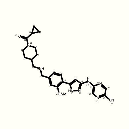 COc1cc(CNCC2CCN(C(=O)C3CC3)CC2)ccc1-c1cc(Nc2cnc(C#N)cn2)n[nH]1